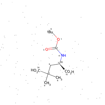 CC(C)(C)OC(=O)N[C@H](CC(C)(C)C(=O)O)C(=O)O